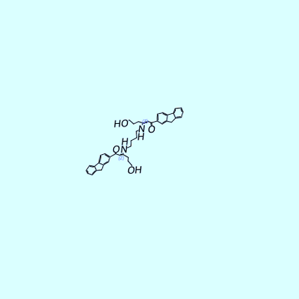 O=C(/C=C(/CCCO)NCCCCN/C(=C\C(=O)c1ccc2c(c1)Cc1ccccc1-2)CCCO)c1ccc2c(c1)Cc1ccccc1-2